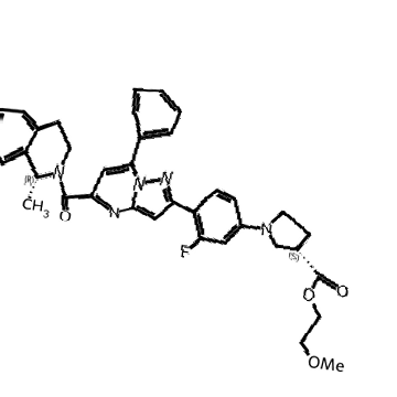 COCCOC(=O)[C@H]1CCN(c2ccc(-c3cc4nc(C(=O)N5CCc6ccccc6[C@H]5C)cc(-c5ccccc5)n4n3)c(F)c2)C1